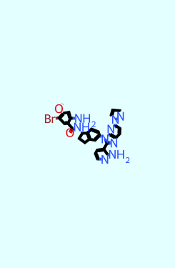 COc1cc(N)c(C(=O)N[C@H]2CCc3cc(-n4c(-c5cccnc5N)nc5ccc(-n6cccn6)nc54)ccc32)cc1Br